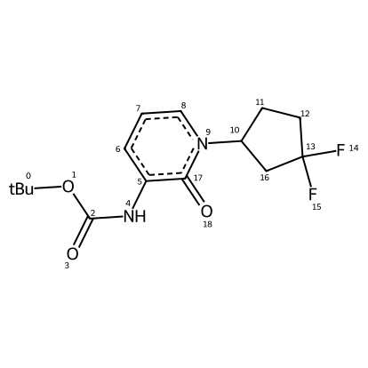 CC(C)(C)OC(=O)Nc1cccn(C2CCC(F)(F)C2)c1=O